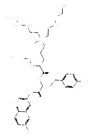 COBNCC[N+](C)(CCBOCN)CCC[C@H](NBOC)C(=O)N[C@H](CCc1ccc(C(F)(F)F)cc1)C(=O)Nc1cnc2ccc(F)cc2c1